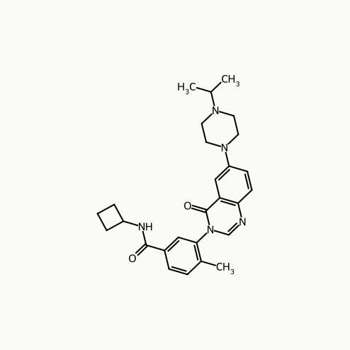 Cc1ccc(C(=O)NC2CCC2)cc1-n1cnc2ccc(N3CCN(C(C)C)CC3)cc2c1=O